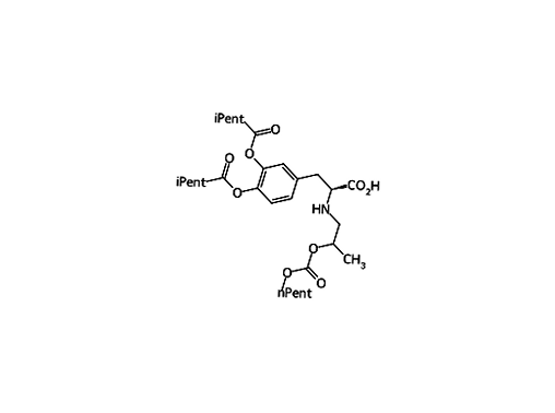 CCCCCOC(=O)OC(C)CN[C@@H](Cc1ccc(OC(=O)C(C)CCC)c(OC(=O)C(C)CCC)c1)C(=O)O